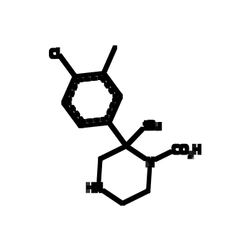 Cc1cc(C2(C(C)(C)C)CNCCN2C(=O)O)ccc1Cl